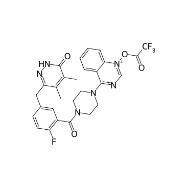 Cc1c(Cc2ccc(F)c(C(=O)N3CCN(c4nc[n+](OC(=O)C(F)(F)F)c5ccccc45)CC3)c2)n[nH]c(=O)c1C